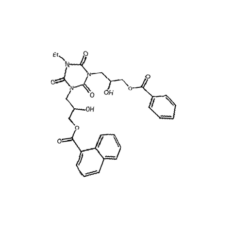 CCn1c(=O)n(CC(O)COC(=O)c2ccccc2)c(=O)n(CC(O)COC(=O)c2cccc3ccccc23)c1=O